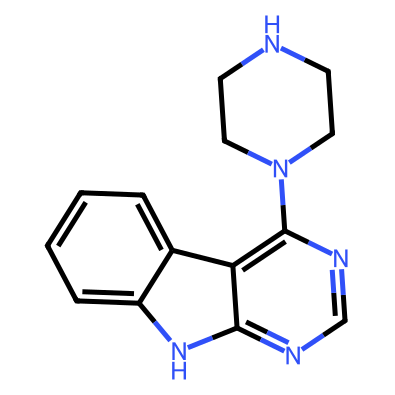 c1ccc2c(c1)[nH]c1ncnc(N3CCNCC3)c12